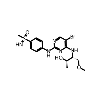 COC[C@@H](Nc1nc(Nc2ccc(S(C)(=N)=O)cc2)ncc1Br)[C@@H](C)O